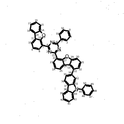 c1ccc(-c2nc(-c3cccc4c3oc3ccccc34)nc(-c3cccc4c3oc3cccc(-c5ccc6c7ccccc7n(-c7ccccc7)c6c5)c34)n2)cc1